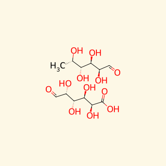 C[C@H](O)[C@@H](O)[C@@H](O)[C@H](O)C=O.O=C[C@H](O)[C@@H](O)[C@@H](O)[C@H](O)C(=O)O